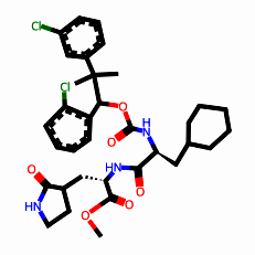 COC(=O)[C@H](CC1CCNC1=O)NC(=O)[C@H](CC1CCCCC1)NC(=O)OC(c1ccccc1Cl)C(C)(C)c1cccc(Cl)c1